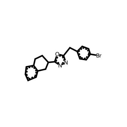 Brc1ccc(Cc2nnc(C3CCc4ccccc4C3)o2)cc1